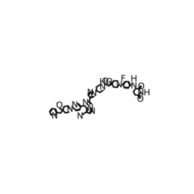 COCC1(Cc2ccccn2)CCN(c2ccc(-c3nc(-c4cnn(C5CCN(C(=O)CC6(O)CCN(c7ccc(NC8CCC(=O)NC8=O)cc7F)CC6)CC5)c4)cn4ncc(C#N)c34)cn2)CC1